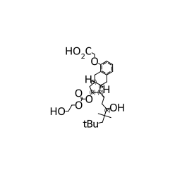 CC(C)(C)CC(C)(C)[C@H](O)CC[C@@H]1[C@H]2Cc3cccc(OCC(=O)O)c3C[C@H]2C[C@H]1OC(=O)OCCO